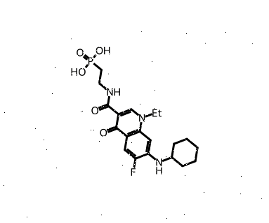 CCn1cc(C(=O)NCCP(=O)(O)O)c(=O)c2cc(F)c(NC3CCCCC3)cc21